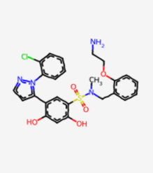 CN(Cc1ccccc1OCCN)S(=O)(=O)c1cc(-c2ccnn2-c2ccccc2Cl)c(O)cc1O